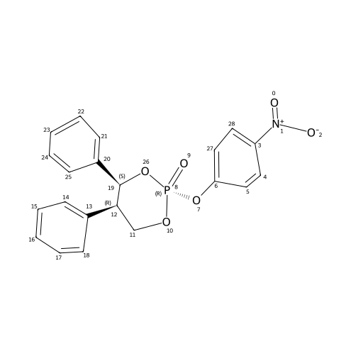 O=[N+]([O-])c1ccc(O[P@]2(=O)OC[C@@H](c3ccccc3)[C@@H](c3ccccc3)O2)cc1